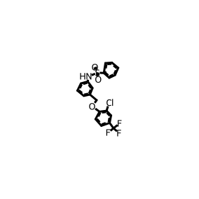 O=S(=O)(Nc1cccc(COc2ccc(C(F)(F)F)cc2Cl)c1)c1ccccc1